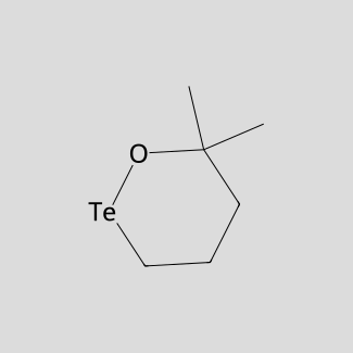 CC1(C)CCC[Te]O1